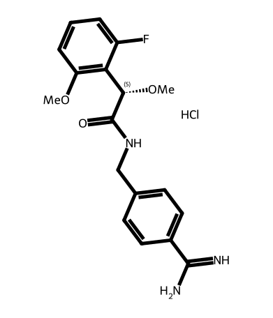 COc1cccc(F)c1[C@H](OC)C(=O)NCc1ccc(C(=N)N)cc1.Cl